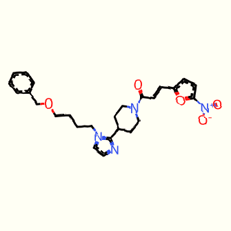 O=C(/C=C/c1ccc([N+](=O)[O-])o1)N1CCC(c2nccn2CCCCOCc2ccccc2)CC1